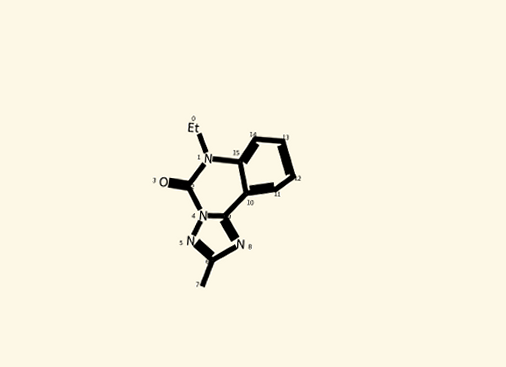 CCn1c(=O)n2nc(C)nc2c2ccccc21